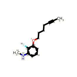 CC#CCCCCOc1cccc(NC)c1F